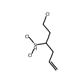 C=CCC(CCCl)[SiH](Cl)Cl